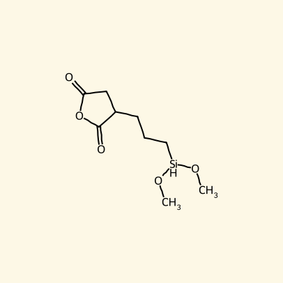 CO[SiH](CCCC1CC(=O)OC1=O)OC